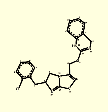 Clc1ccccc1CC1CN2C(CSC3=NCc4ccccc4N3)=CSC2=N1